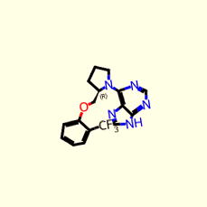 FC(F)(F)c1ccccc1OC[C@H]1CCCN1c1ncnc2[nH]cnc12